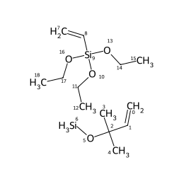 C=CC(C)(C)O[SiH3].C=C[Si](OCC)(OCC)OCC